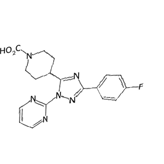 O=C(O)N1CCC(c2nc(-c3ccc(F)cc3)nn2-c2ncccn2)CC1